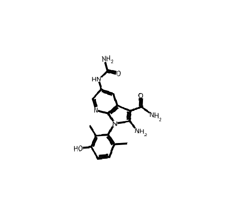 Cc1ccc(O)c(C)c1-n1c(N)c(C(N)=O)c2cc(NC(N)=O)cnc21